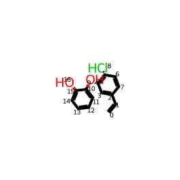 C=Cc1ccccc1.Cl.Oc1ccccc1O